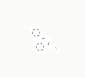 O=COC(=O)c1ccccc1C(=O)c1ccc(O)cc1